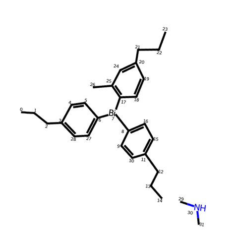 CCCc1cc[c]([Bi]([c]2ccc(CCC)cc2)[c]2ccc(CCC)cc2C)cc1.CNC